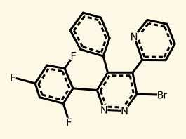 Fc1cc(F)c(-c2nnc(Br)c(-c3ccccn3)c2-c2ccccc2)c(F)c1